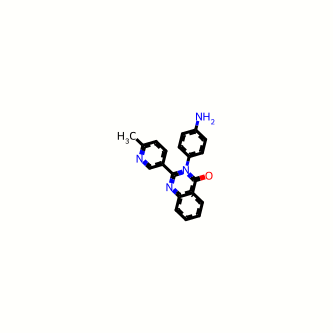 Cc1ccc(-c2nc3ccccc3c(=O)n2-c2ccc(N)cc2)cn1